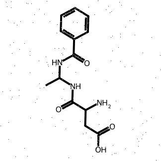 CC(NC(=O)c1ccccc1)NC(=O)C(N)CC(=O)O